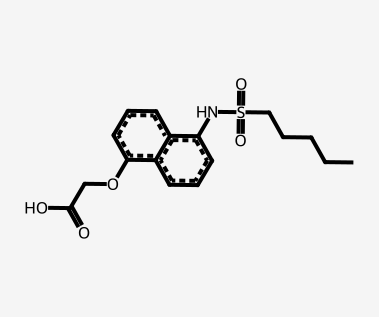 CCCCCS(=O)(=O)Nc1cccc2c(OCC(=O)O)cccc12